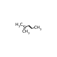 CC=C[Si](C)C